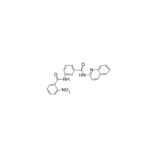 O=C(Nc1ccc2ccccc2n1)c1cccc(NC(=O)c2ccccc2[N+](=O)[O-])c1